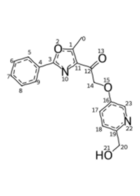 Cc1oc(-c2ccccc2)nc1C(=O)COc1ccc(CO)nc1